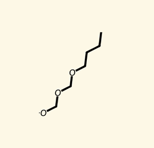 CCCCOCOC[O]